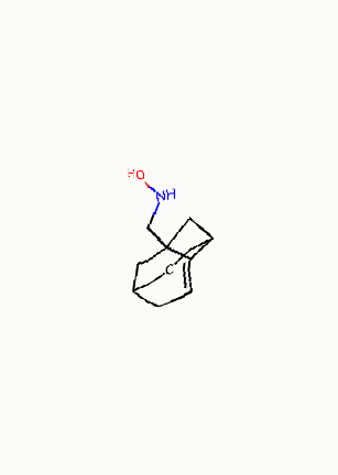 ONCC12CC3CC=C1C(C3)C2